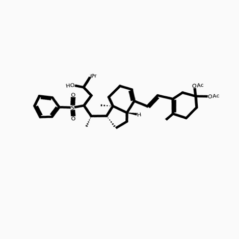 CC(=O)OC1(OC(C)=O)CCC(C)=C(C=CC2=CCC[C@]3(C)[C@@H]([C@H](C)C(CC(O)C(C)C)S(=O)(=O)c4ccccc4)CC[C@@H]23)C1